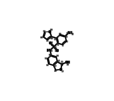 Nc1ccc(S(=O)(=O)Nc2ccc3c(c2)B(O)OC3)c(-c2ccco2)c1